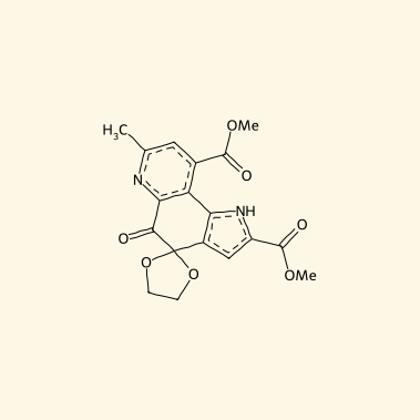 COC(=O)c1cc2c([nH]1)-c1c(C(=O)OC)cc(C)nc1C(=O)C21OCCO1